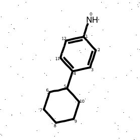 [NH]c1ccc(C2CCCCC2)cc1